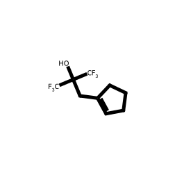 OC(CC1=CCCC1)(C(F)(F)F)C(F)(F)F